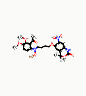 COc1ccc([N+](=CCCCOc2cc3c(cc2[N+](=O)[O-])NC(=O)OC3(C)C)OS)c(C(C)=O)c1OC